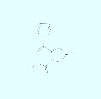 CC(C)(C)OC(=O)N1CC(F)CC1C(=O)n1ccnc1